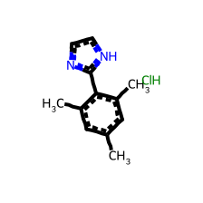 Cc1cc(C)c(-c2ncc[nH]2)c(C)c1.Cl